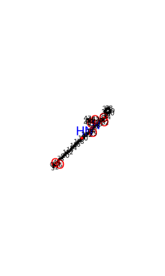 CC(C)(C)OC(=O)CCCCCCCCCCCCCCCCNC(=O)CCN(CCC(=O)OCc1ccccc1)C(=O)OC(C)(C)C